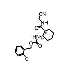 N#CCNC(=O)[C@H]1CCCC[C@H]1NC(=O)OCc1ccccc1Cl